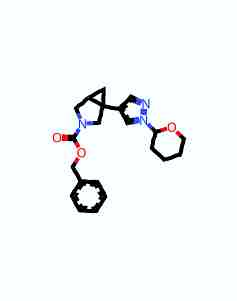 O=C(OCc1ccccc1)N1CC2CC2(c2cnn(C3CCCCO3)c2)C1